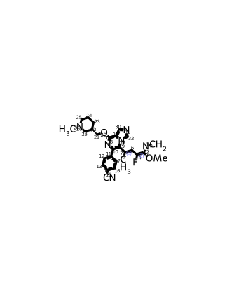 C=N/C(OC)=C(F)\C=C(/C)c1c(-c2ccc(C#N)cc2)nc(OC[C@@H]2CCCN(C)C2)c2cncn12